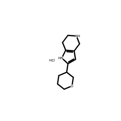 Cl.c1c(C2CCCOC2)[nH]c2c1CNCC2